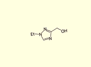 CCn1cnc(CO)n1